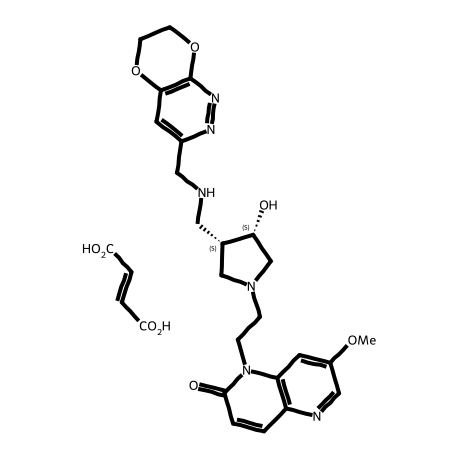 COc1cnc2ccc(=O)n(CCN3C[C@H](CNCc4cc5c(nn4)OCCO5)[C@H](O)C3)c2c1.O=C(O)C=CC(=O)O